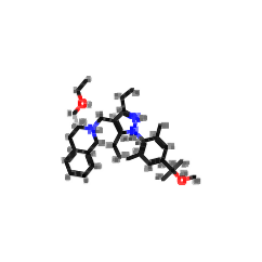 CCOC[C@H]1Cc2ccccc2CN1Cc1c(CC)nn(-c2c(C)cc(C(C)(C)OC)cc2C)c1CC